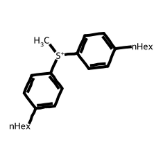 CCCCCCc1ccc([S+](C)c2ccc(CCCCCC)cc2)cc1